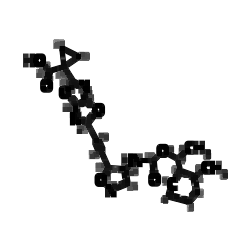 Cc1ccccc1C(C)OC(=O)Nc1cnoc1C#Cc1nc2oc(C3(C(=O)O)CC3)nc2o1